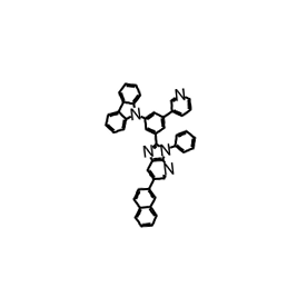 c1ccc(-n2c(-c3cc(-c4cccnc4)cc(-n4c5ccccc5c5ccccc54)c3)nc3cc(-c4ccc5ccccc5c4)cnc32)cc1